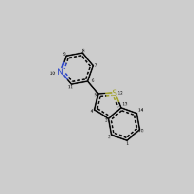 [c]1ccc2cc(-c3cccnc3)sc2c1